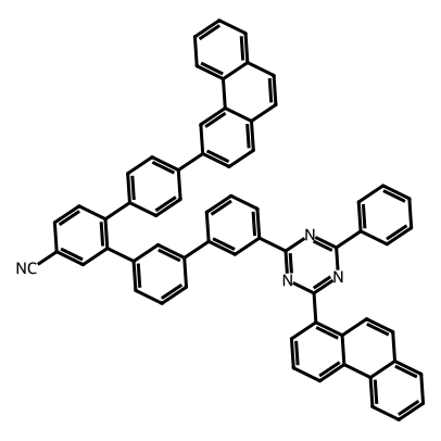 N#Cc1ccc(-c2ccc(-c3ccc4ccc5ccccc5c4c3)cc2)c(-c2cccc(-c3cccc(-c4nc(-c5ccccc5)nc(-c5cccc6c5ccc5ccccc56)n4)c3)c2)c1